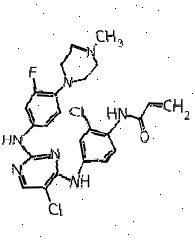 C=CC(=O)Nc1ccc(Nc2nc(Nc3ccc(N4CCN(C)CC4)c(F)c3)ncc2Cl)cc1Cl